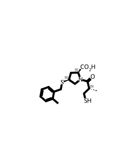 Cc1ccccc1CS[C@H]1C[C@@H](C(=O)O)N(C(=O)[C@H](C)CS)C1